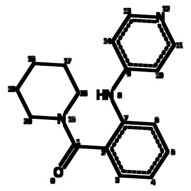 O=C(c1ccccc1Nc1ccncc1)N1CCCCC1